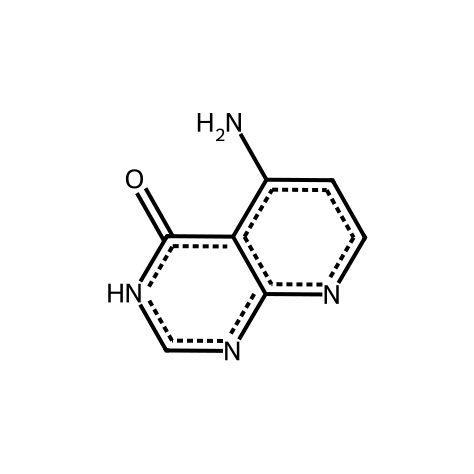 Nc1ccnc2nc[nH]c(=O)c12